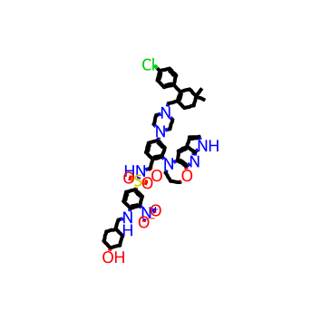 CC1(C)CCC(CN2CCN(c3ccc(C(=O)NS(=O)(=O)c4ccc(NCC5CCC(O)CC5)c([N+](=O)[O-])c4)c(N4CCCOc5nc6[nH]ccc6cc54)c3)CC2)=C(c2ccc(Cl)cc2)C1